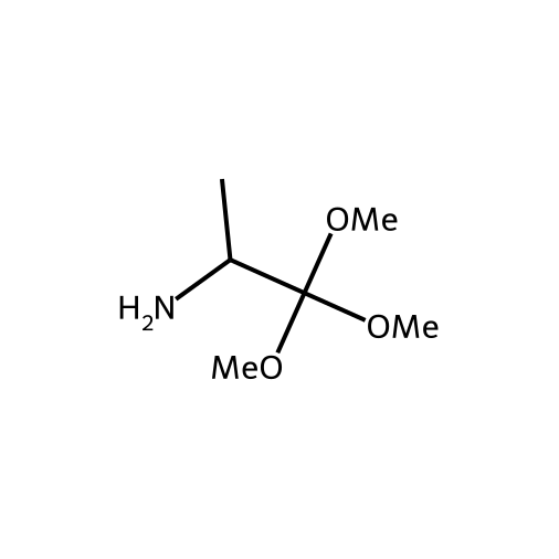 COC(OC)(OC)C(C)N